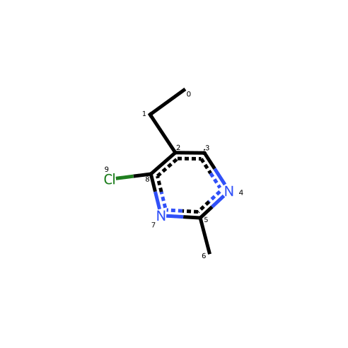 CCc1[c]nc(C)nc1Cl